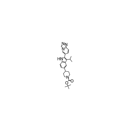 CC(C)c1c(-c2ccc3nncn3c2)[nH]c2ccc(C3CCN(C(=O)OC(C)(C)C)CC3)cc12